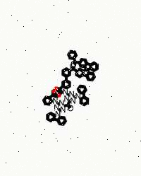 O=C(c1ccccc1)c1ccc2c(c1)C1(c3ccccc3-2)c2ccccc2-c2ccc(C(=O)c3cccc(-c4ccc5c(c4)c4ccccc4n5-c4nc(C(=O)c5nc(-n6c7ccccc7c7ccccc76)nc(-n6c7ccccc7c7ccccc76)n5)nc(-n5c6ccccc6c6ccccc65)n4)c3)cc21